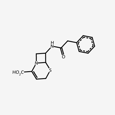 O=C(Cc1ccccc1)NC1CN2C(C(=O)O)=CCSC12